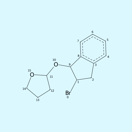 BrC1Cc2ccccc2C1OC1CCCO1